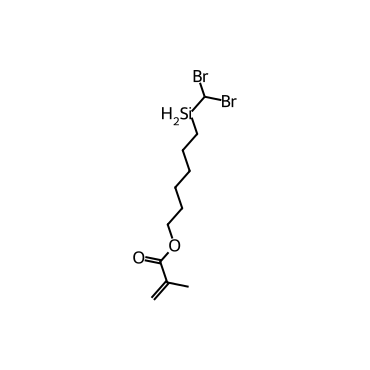 C=C(C)C(=O)OCCCCCC[SiH2]C(Br)Br